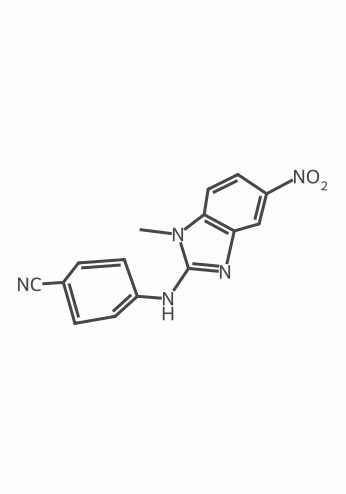 Cn1c(Nc2ccc(C#N)cc2)nc2cc([N+](=O)[O-])ccc21